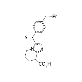 CC(C)Cc1ccc(C(=S)c2ccc3n2CCCC3C(=O)O)cc1